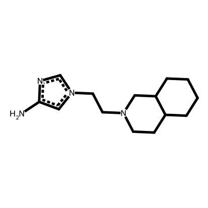 Nc1cn(CCN2CCC3CCCCC3C2)cn1